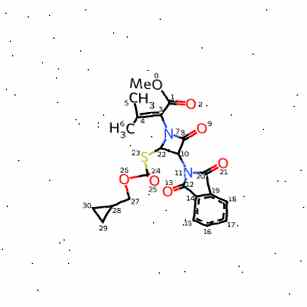 COC(=O)C(=C(C)C)N1C(=O)C(N2C(=O)c3ccccc3C2=O)C1SC(=O)OCC1CC1